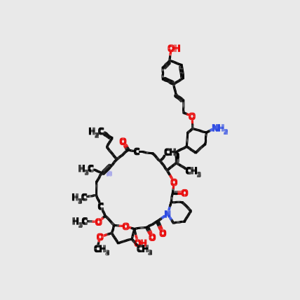 C=CCC1/C=C(\C)CC(C)CC(OC)C2OC(O)(C(=O)C(=O)N3CCCCC3C(=O)OC(C(C)=CC3CCC(N)C(OCC=Cc4ccc(O)cc4)C3)C(C)CCC1=O)C(C)CC2OC